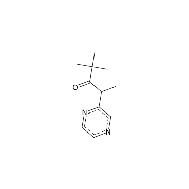 CC(C(=O)C(C)(C)C)c1cnccn1